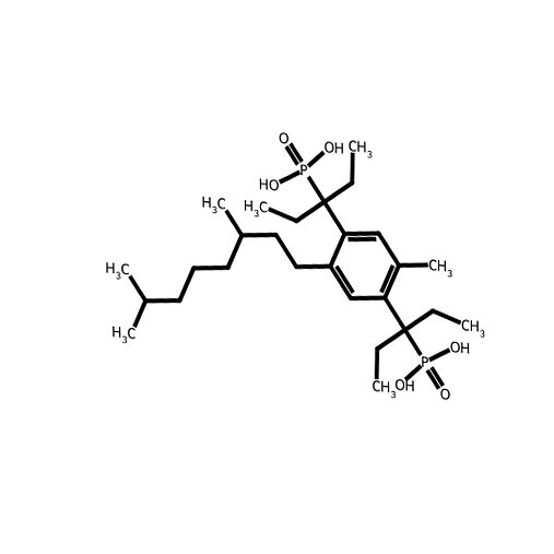 CCC(CC)(c1cc(CCC(C)CCCC(C)C)c(C(CC)(CC)P(=O)(O)O)cc1C)P(=O)(O)O